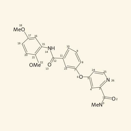 CNC(=O)c1cc(Oc2cccc(C(=O)Nc3cc(OC)ccc3OC)c2)ccn1